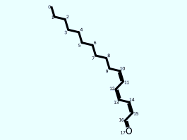 CCCCCCCCCC\C=C/C=C\C=C/C=O